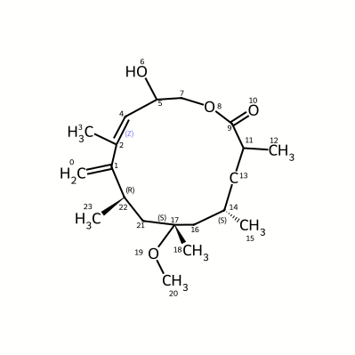 C=C1/C(C)=C\C(O)COC(=O)C(C)C[C@H](C)C[C@](C)(OC)C[C@H]1C